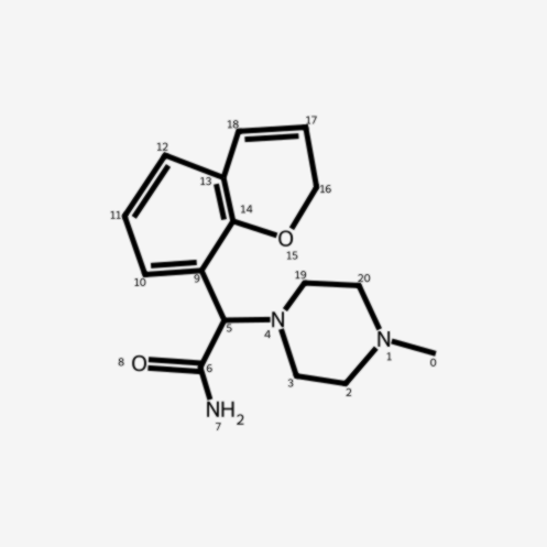 CN1CCN(C(C(N)=O)c2cccc3c2OCC=C3)CC1